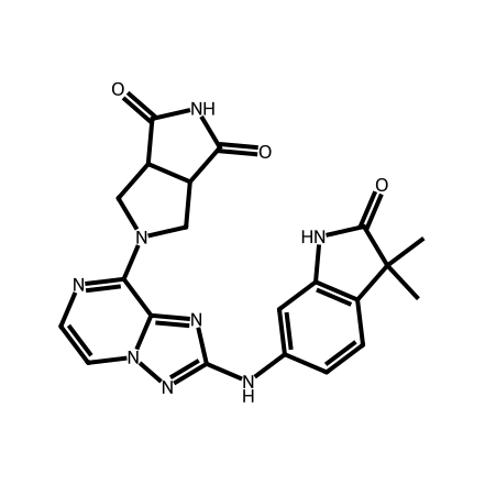 CC1(C)C(=O)Nc2cc(Nc3nc4c(N5CC6C(=O)NC(=O)C6C5)nccn4n3)ccc21